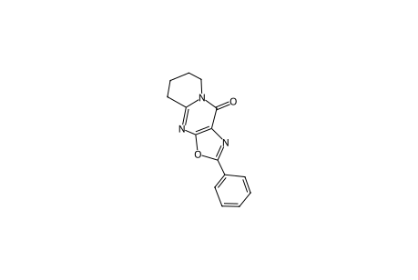 O=c1c2nc(-c3ccccc3)oc2nc2n1CCCC2